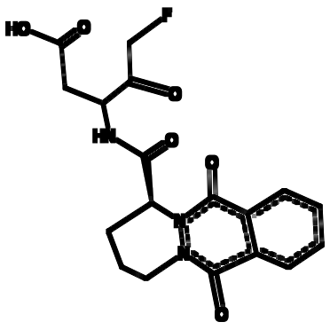 O=C(O)CC(NC(=O)[C@@H]1CCCn2c(=O)c3ccccc3c(=O)n21)C(=O)CF